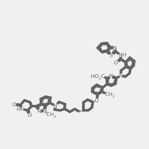 Cc1c(O[C@H]2CC[C@@H](CCCC3CCN(c4cccc5c(C6CCC(=O)NC6=O)nn(C)c45)CC3)CC2)cccc1-c1ccc(N2CCc3cccc(C(=O)Nc4nc5ccccc5s4)c3C2)nc1C(=O)O